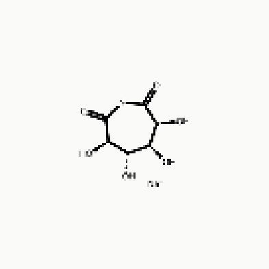 O=C1[N-]C(=O)[C@H](O)[C@@H](O)[C@H](O)[C@@H]1O.[Na+]